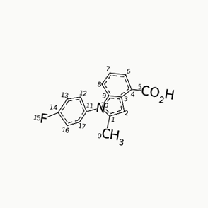 Cc1cc2c(C(=O)O)cccc2n1-c1ccc(F)cc1